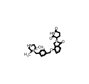 CC1CNC[C@H](C)N1Cc1ccc(COc2cccc3c2CN(C2CCC(=O)NC2=O)C3=O)cc1